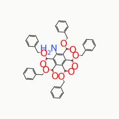 Nc1c(C(=O)OCc2ccccc2)c(C(=O)OCc2ccccc2)c(C(=O)OCc2ccccc2)c(C(=O)OCc2ccccc2)c1C(=O)OCc1ccccc1